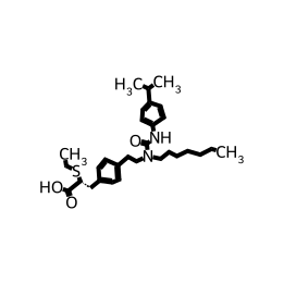 CCCCCCCN(CCc1ccc(C[C@@H](SCC)C(=O)O)cc1)C(=O)Nc1ccc(C(C)C)cc1